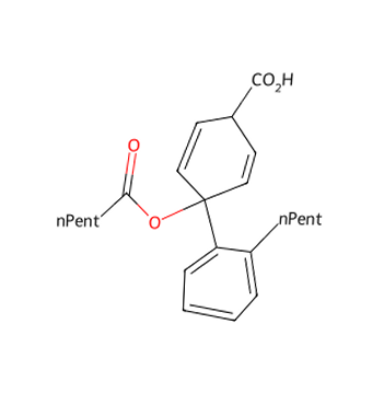 CCCCCC(=O)OC1(c2ccccc2CCCCC)C=CC(C(=O)O)C=C1